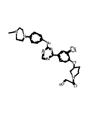 CN1CCN(c2ccc(Nc3ncnc(-c4ccc(OC5CCN(C(=O)CO)C5)c(C#N)c4)n3)cc2)CC1